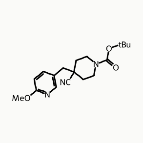 COc1ccc(CC2(C#N)CCN(C(=O)OC(C)(C)C)CC2)cn1